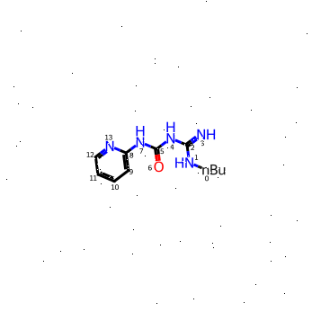 CCCCNC(=N)NC(=O)Nc1ccccn1